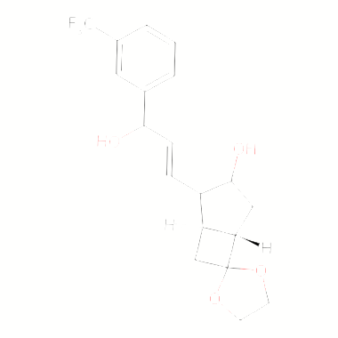 OC(C=CC1C(O)C[C@H]2[C@H]1CC21OCCO1)c1cccc(C(F)(F)F)c1